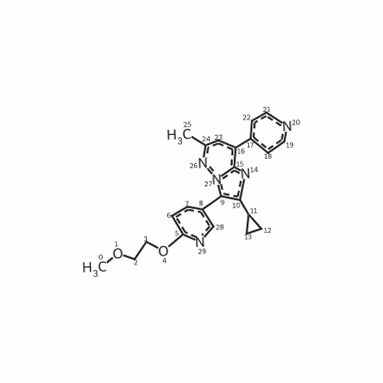 COCCOc1ccc(-c2c(C3CC3)nc3c(-c4ccncc4)cc(C)nn23)cn1